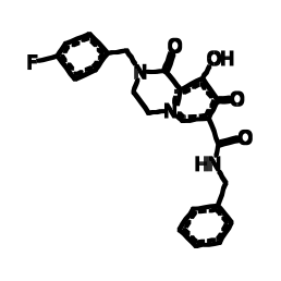 O=C(NCc1ccccc1)c1cn2c(c(O)c1=O)C(=O)N(Cc1ccc(F)cc1)CC2